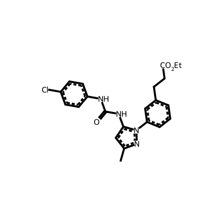 CCOC(=O)CCc1cccc(-n2nc(C)cc2NC(=O)Nc2ccc(Cl)cc2)c1